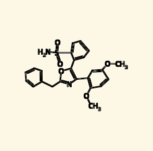 COc1ccc(OC)c(-c2nc(Cc3ccccc3)oc2-c2ccccc2S(N)(=O)=O)c1